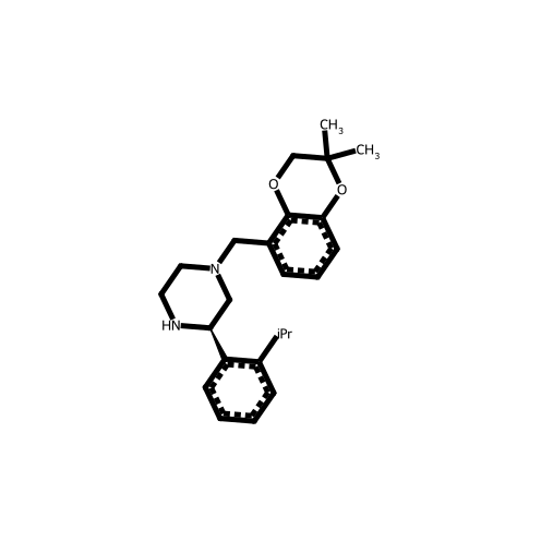 CC(C)c1ccccc1[C@@H]1CN(Cc2cccc3c2OCC(C)(C)O3)CCN1